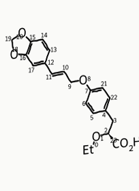 CCO[C@@H](Cc1ccc(OC/C=C/c2ccc3c(c2)OCO3)cc1)C(=O)O